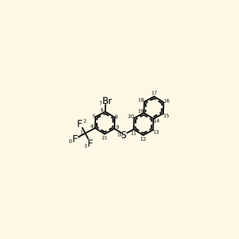 FC(F)(F)c1cc(Br)cc(Sc2ccc3ccccc3c2)c1